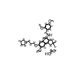 COc1ccc(CNc2nc3cc(OCCCN4CCCC4)c(OC)cc3c3c2CC(C)(C)C3)c(OC)c1.O=CO